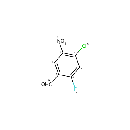 O=Cc1cc([N+](=O)[O-])c(Cl)cc1F